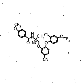 C[C@](C#N)(COc1cc(C#N)ccc1Oc1ccc(OC(F)(F)F)cc1Cl)NC(=O)c1ccc(OC(F)(F)F)cc1